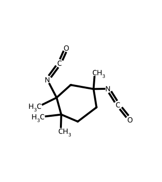 CC1(N=C=O)CCC(C)(C)C(C)(N=C=O)C1